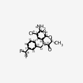 C[C@H]1Oc2nc(N)c(Cl)cc2N(Cc2cccc(C(F)F)c2)C1=O